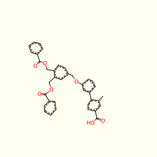 Cc1cc(C(=O)O)ccc1-c1cccc(OCc2ccc(COC(=O)c3ccccc3)c(COC(=O)c3ccccc3)c2)c1